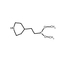 COP(CCC1CCNCC1)OC